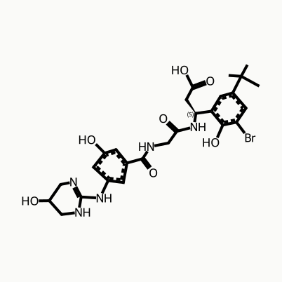 CC(C)(C)c1cc(Br)c(O)c([C@H](CC(=O)O)NC(=O)CNC(=O)c2cc(O)cc(NC3=NCC(O)CN3)c2)c1